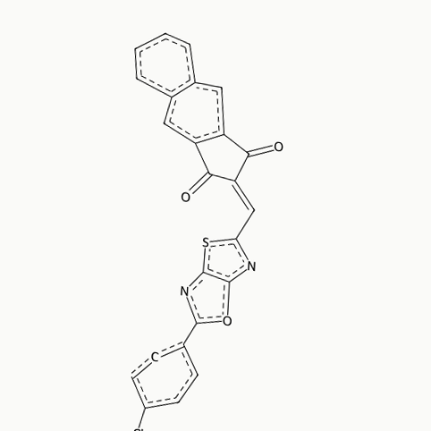 O=C1C(=Cc2nc3oc(-c4ccc(Cl)cc4)nc3s2)C(=O)c2cc3ccccc3cc21